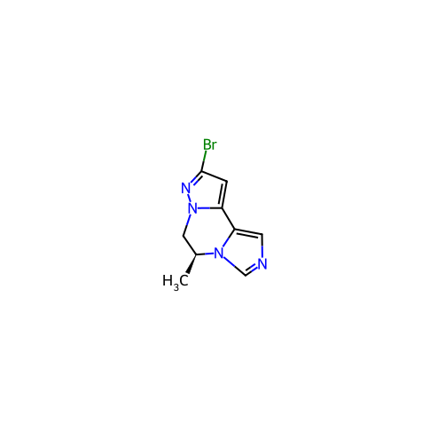 C[C@H]1Cn2nc(Br)cc2-c2cncn21